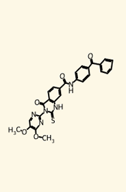 COc1cnc(-n2c(=S)[nH]c3cc(C(=O)Nc4ccc(C(=O)c5ccccc5)cc4)ccc3c2=O)nc1OC